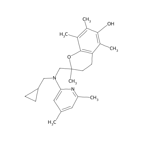 Cc1cc(C)nc(N(CC2CC2)CC2(C)CCc3c(C)c(O)c(C)c(C)c3O2)c1